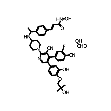 CC(NC1CCN(c2ncc(-c3ccc(OCC(C)(C)O)c(O)c3)c(-c3ccc(C#N)c(F)c3)c2C#N)CC1)c1ccc(/C=C/C(=O)NO)cc1.O=CO